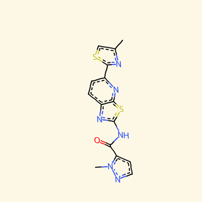 Cc1csc(-c2ccc3nc(NC(=O)c4ccnn4C)sc3n2)n1